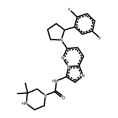 CC1(C)CN(C(=O)Nc2cnc3ccc(N4CCCC4c4cc(F)ccc4F)nn23)CCN1